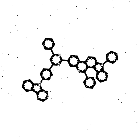 c1ccc(-c2cc(-c3ccc(-n4c5ccccc5c5ccccc54)cc3)nc(-c3ccc4c(c3)nc(-c3ccccc3)c3c4ccc4c3c3ccccc3n4-c3ccccc3)n2)cc1